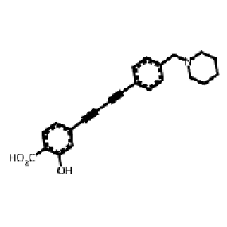 O=C(O)c1ccc(C#CC#Cc2ccc(CN3CCCCC3)cc2)cc1O